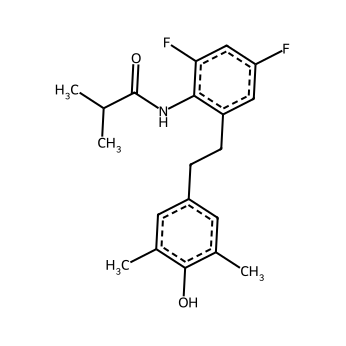 Cc1cc(CCc2cc(F)cc(F)c2NC(=O)C(C)C)cc(C)c1O